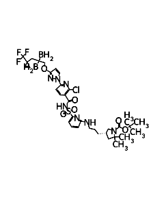 BC(B)(COc1ccn(-c2ccc(C(=O)NS(=O)(=O)c3cccc(NCCC[C@@H]4CN(C(=O)OC(C)(C)C)C(C)(C)C4)n3)c(Cl)n2)n1)CC1(C(F)(F)F)CC1